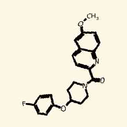 COc1ccc2nc(C(=O)N3CCC(Oc4ccc(F)cc4)CC3)ccc2c1